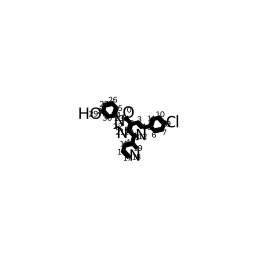 O=c1c2cc(-c3ccc(Cl)cc3)nc(-c3cccnc3)c2ncn1-c1cccc(O)c1